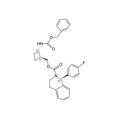 O=C(N[C@H]1CC[C@@H]1COC(=O)N1CCc2ccccc2[C@@H]1c1ccc(F)cc1)OCc1ccccc1